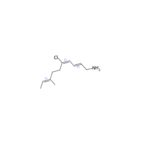 C/C=C(\C)CC/C(Cl)=C\C=C\CN